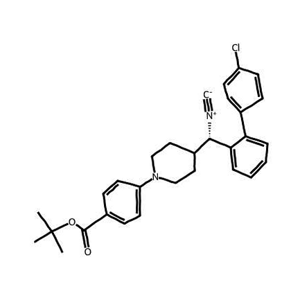 [C-]#[N+][C@H](c1ccccc1-c1ccc(Cl)cc1)C1CCN(c2ccc(C(=O)OC(C)(C)C)cc2)CC1